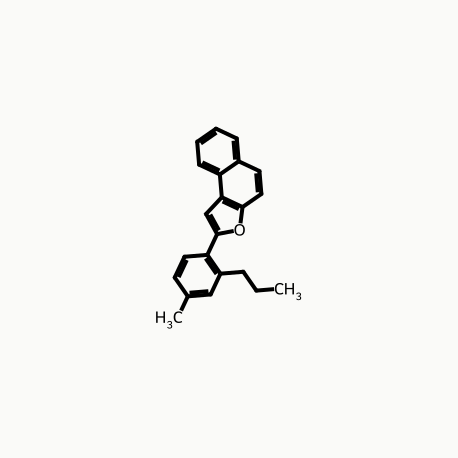 CCCc1cc(C)ccc1-c1cc2c(ccc3ccccc32)o1